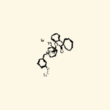 O=C(O[C@H]1C[N+]2(Cc3cccc(OC(F)(F)F)c3)CCC1CC2)C1(c2ccccc2)CCCCCC1.[Br-]